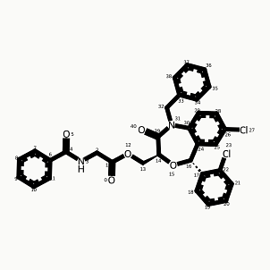 O=C(CNC(=O)c1ccccc1)OC[C@@H]1O[C@@H](c2ccccc2Cl)c2cc(Cl)ccc2N(Cc2ccccc2)C1=O